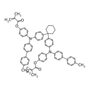 C=C(C)C(=O)Oc1ccc(N(c2ccc(-c3ccc(C)cc3)cc2)c2ccc(C3(c4ccc(N(c5ccc(OC(=O)C(=C)C)cc5)c5ccc(-c6ccc(C)cc6)cc5)cc4)CCCCC3)cc2)cc1